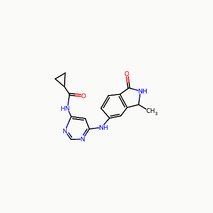 CC1NC(=O)c2ccc(Nc3cc(NC(=O)C4CC4)ncn3)cc21